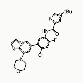 CC(C)(C)n1cnc(C(=O)Nc2cc(-c3cc(N4CCOCC4)c4nccn4c3)c(Cl)cc2F)c1